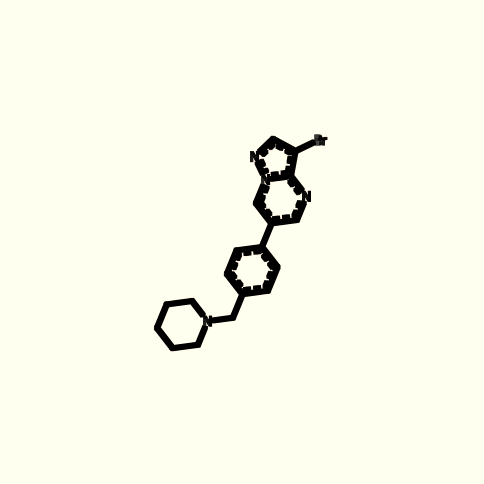 Brc1cnn2cc(-c3ccc(CN4CCCCC4)cc3)cnc12